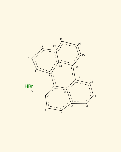 Br.c1cc2cccc3c4cccc5cccc(c(c1)c23)c54